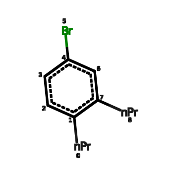 CCCc1ccc(Br)cc1CCC